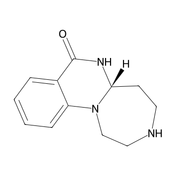 O=C1N[C@@H]2CCNCCN2c2ccccc21